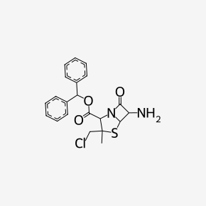 CC1(CCl)SC2C(N)C(=O)N2C1C(=O)OC(c1ccccc1)c1ccccc1